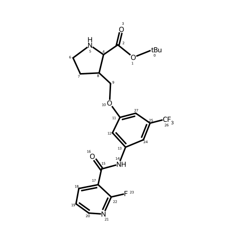 CC(C)(C)OC(=O)C1NCCC1COc1cc(NC(=O)c2cccnc2F)cc(C(F)(F)F)c1